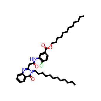 CCCCCCCCCCCCOC(=O)c1ccc(Cl)c(NC(=O)Cc2nc3ccccc3c(=O)n2CCCCCCCCCCCC)c1